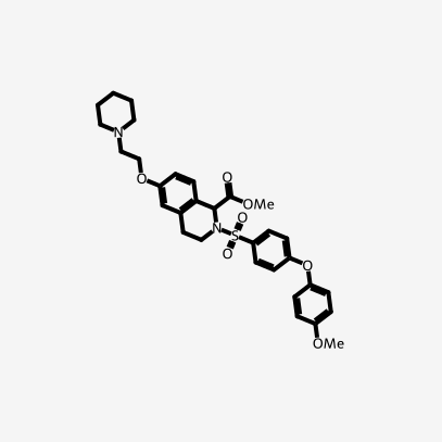 COC(=O)C1c2ccc(OCCN3CCCCC3)cc2CCN1S(=O)(=O)c1ccc(Oc2ccc(OC)cc2)cc1